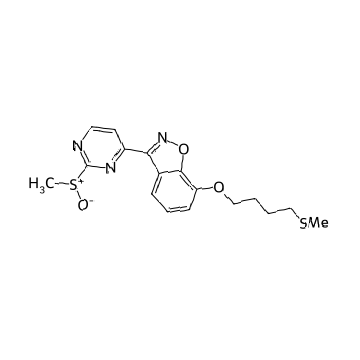 CSCCCCOc1cccc2c(-c3ccnc([S+](C)[O-])n3)noc12